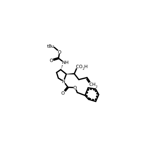 C=CCC(C(=O)O)[C@@H]1[C@@H](NC(=O)OC(C)(C)C)CCN1C(=O)OCc1ccccc1